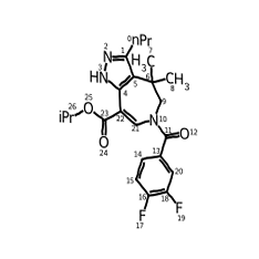 CCCc1n[nH]c2c1C(C)(C)CN(C(=O)c1ccc(F)c(F)c1)C=C2C(=O)OC(C)C